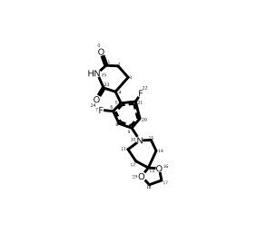 O=C1CCC(c2c(F)cc(N3CCC4(CC3)OCCO4)cc2F)C(=O)N1